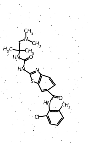 Cc1cccc(Cl)c1NC(=O)c1ccc2nc(NC(=O)NC(C)(C)CN(C)C)sc2c1